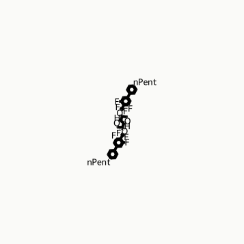 CCCCCc1ccc(-c2cc(F)c(C(F)(F)O[C@H]3CO[C@@H]4[C@H]3OC[C@H]4OC(F)(F)c3c(F)cc(-c4ccc(CCCCC)cc4)cc3F)c(F)c2)cc1